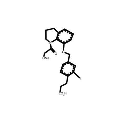 COCC(=O)N1CCCc2cccc(OCc3ccc(CCC(=O)O)c(F)c3)c21